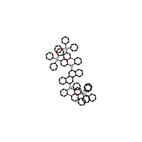 c1ccc([Si](c2ccccc2)(c2ccccc2)c2ccc(N(c3ccccc3-c3cccc([Si](c4ccccc4)(c4ccccc4)c4ccccc4)c3)c3cc4c5ccccc5c(N(c5ccc([Si](c6ccccc6)(c6ccccc6)c6ccccc6)cc5)c5ccccc5-c5cccc([Si](c6ccccc6)(c6ccccc6)c6ccccc6)c5)cc4c4ccccc34)cc2)cc1